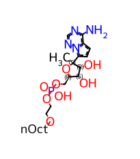 CCCCCCCCOCCOP(=O)(O)OC[C@H]1O[C@@](C)(c2ccc3c(N)ncnn23)[C@H](O)[C@@H]1O